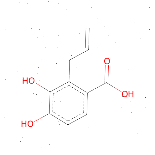 C=CCc1c(C(=O)O)ccc(O)c1O